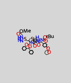 COC(=O)Cn1nnnc1SCC1=C(C(=O)OC(c2ccccc2)c2ccccc2)N2C(=O)[C@@H](NC(=O)C(NC(=O)OC(C)(C)C)c3ccc(OC4CCCCO4)cc3)[C@@H]2SC1